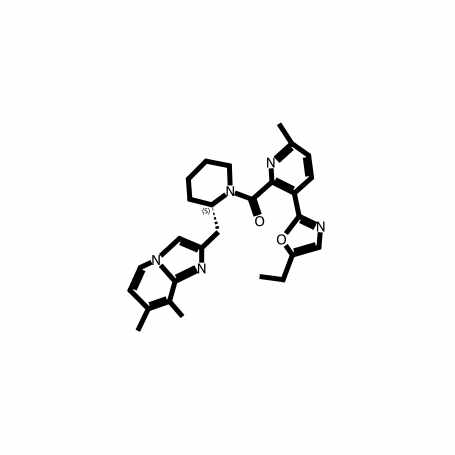 CCc1cnc(-c2ccc(C)nc2C(=O)N2CCCC[C@H]2Cc2cn3ccc(C)c(C)c3n2)o1